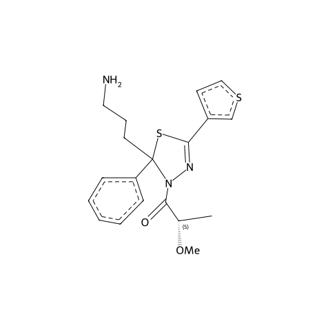 CO[C@@H](C)C(=O)N1N=C(c2ccsc2)SC1(CCCN)c1ccccc1